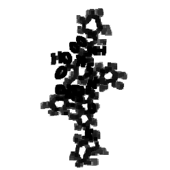 CN(CC1=C(C(=O)O)N2C(=O)[C@@H](NC(=O)Cc3ccccc3)C2SC1)S(=O)(=O)c1ccccc1-c1c2ccc(N3CCc4ccccc43)cc2[o+]c2cc(N3CCc4ccccc43)ccc12